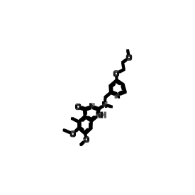 COCCOc1ccnc(CN(C)c2nc(=O)c3c(C)c(OC)c(OC)cc3[nH]2)c1